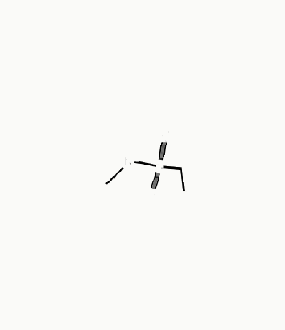 [C]NS(=O)(=O)CC